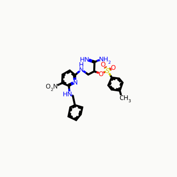 Cc1ccc(S(=O)(=O)OC(CNc2ccc([N+](=O)[O-])c(NCc3ccccc3)n2)C(=N)N)cc1